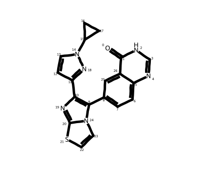 O=c1[nH]cnc2ccc(-c3c(-c4ccn(C5CC5)n4)nc4sccn34)cc12